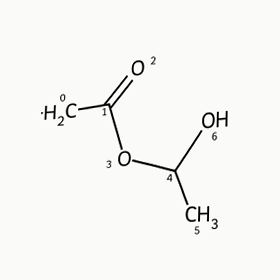 [CH2]C(=O)OC(C)O